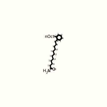 CCCCCCCCc1ccccc1CCCCCCCCCCCC(N)=O